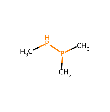 CPP(C)C